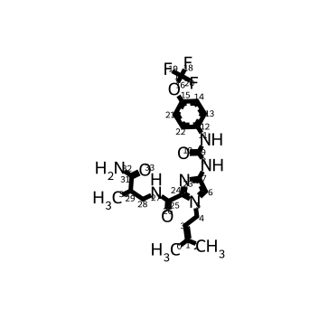 CC(C)=CCn1cc(NC(=O)Nc2ccc(OC(F)(F)F)cc2)nc1C(=O)NCC(C)C(N)=O